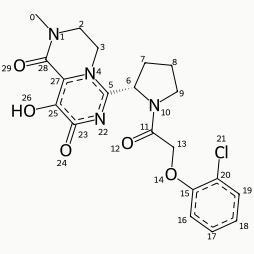 CN1CCn2c([C@@H]3CCCN3C(=O)COc3ccccc3Cl)nc(=O)c(O)c2C1=O